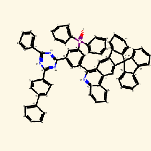 O=P(c1ccccc1)(c1ccccc1)c1cc(-c2nc(-c3ccccc3)nc(-c3ccc(-c4ccccc4)cc3)n2)cc(-c2nc3ccccc3c3cc4c(cc23)-c2ccccc2C42c3ccccc3-c3ccccc32)c1